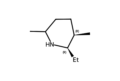 CC[C@H]1NC(C)CC[C@H]1C